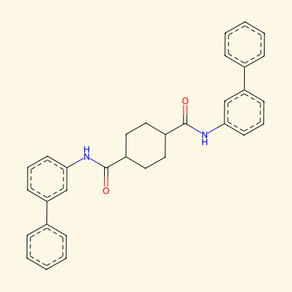 O=C(Nc1cccc(-c2ccccc2)c1)C1CCC(C(=O)Nc2cccc(-c3ccccc3)c2)CC1